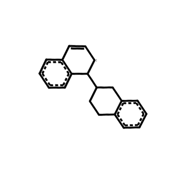 [C]1C=Cc2ccccc2C1C1CCc2ccccc2C1